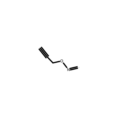 [CH]=NOCC#C